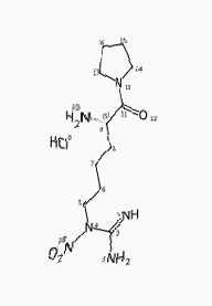 Cl.N=C(N)N(CCCC[C@H](N)C(=O)N1CCCC1)[N+](=O)[O-]